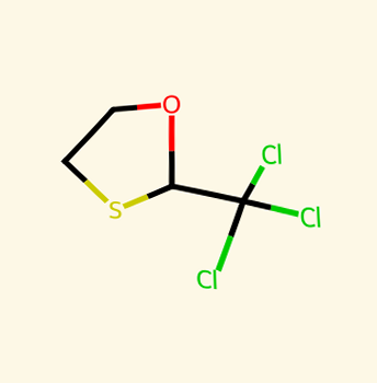 ClC(Cl)(Cl)C1OCCS1